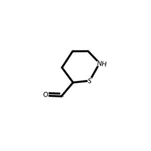 O=[C]C1CCCNS1